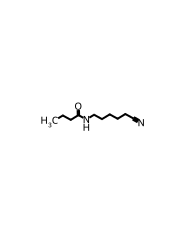 CCCC(=O)NCCCCCC#N